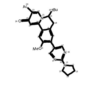 COc1cc2c(cc1-c1cnc(N3CCCC3)nc1)CC(C(C)(C)C)n1cc(C(C)=O)c(=O)cc1-2